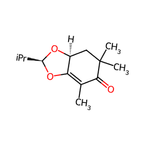 CC1=C2O[C@@H](C(C)C)O[C@H]2CC(C)(C)C1=O